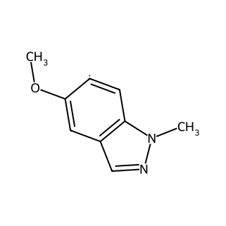 COc1[c]cc2c(cnn2C)c1